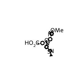 COc1ccc([C@H]2CC[C@H](CN(c3cccc(-c4cnc(C5CC5)s4)c3)C(=O)[C@H]3CC[C@H](CC(=O)O)CC3)CC2)nc1C